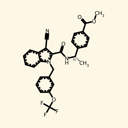 COC(=O)c1ccc([C@H](C)NC(=O)c2c(C#N)c3ccccc3n2Cc2cccc(OC(F)(F)F)c2)cc1